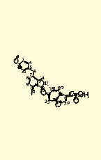 COc1ccc(Cc2ccc(F)c3c2CC[C@H]3Oc2ccc3c(c2)OC[C@H]3CC(=O)O)cc1